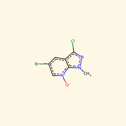 Cn1nc(Cl)c2cc(Br)c[n+]([O-])c21